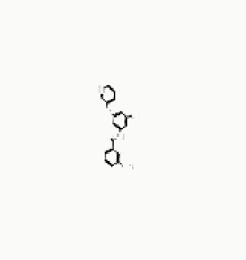 N#Cc1cccc(C(=O)Nc2cc(Cl)cc(Oc3cccnc3)c2)c1